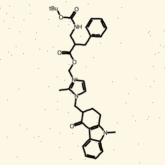 Cc1n(CC2CCc3c(c4ccccc4n3C)C2=O)cc[n+]1COC(=O)C(CNC(=O)OC(C)(C)C)Cc1ccccc1